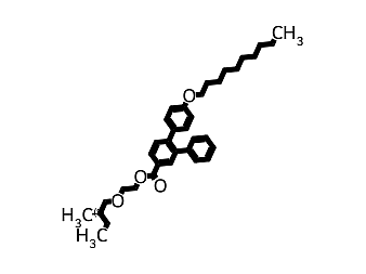 CCCCCCCCCCOc1ccc(-c2ccc(C(=O)OCCOC[C@@H](C)CC)cc2-c2ccccc2)cc1